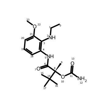 CCNc1c(NC(=O)[C@](C)(OC(N)=O)C(C)(C)C)cccc1OC